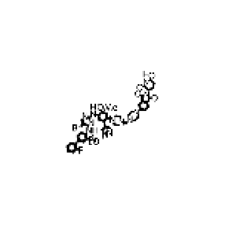 COc1cc(N2CCN(CN3CCN(c4ccc5c(c4)C(=O)N(C4CCC(=O)NC4=O)C5=O)CC3)CC2)c(-c2cnn(C)c2)cc1Nc1ncc(Br)c(Nc2ccc(-c3ccccc3F)cc2P(C)(C)=O)n1